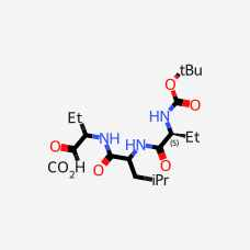 CCC(NC(=O)C(CC(C)C)NC(=O)[C@H](CC)NC(=O)OC(C)(C)C)C(=O)C(=O)O